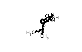 CCCCCN(CCC)CCOc1cccc2c1CN(c1cn[nH]c(=O)c1Cl)C2